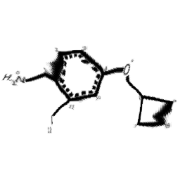 Nc1ccc(OC2CCC2)cc1I